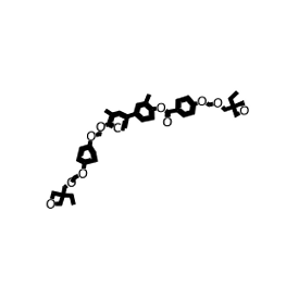 CCC1(COCOc2ccc(OCOc3ccc(-c4ccc(OC(=O)c5ccc(OCOCC6(CC)COC6)cc5)c(C)c4)cc3C)cc2)COC1